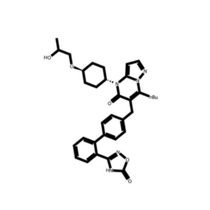 CCCCc1c(Cc2ccc(-c3ccccc3-c3noc(=O)[nH]3)cc2)c(=O)n([C@H]2CC[C@H](OCC(C)O)CC2)c2ccnn12